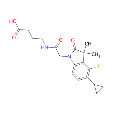 CC1(C)C(=O)N(CC(=O)NCCCC(=O)O)c2ccc(C3CC3)c(F)c21